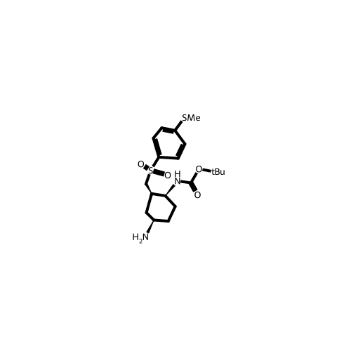 CSc1ccc(S(=O)(=O)C[C@@H]2C[C@H](N)CC[C@@H]2NC(=O)OC(C)(C)C)cc1